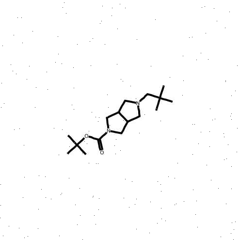 CC(C)(C)CN1CC2CN(C(=O)OC(C)(C)C)CC2C1